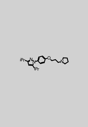 CC(C)c1cc(C(C)C)n(-c2ccc(OCCCN3CCCC3)cc2)n1